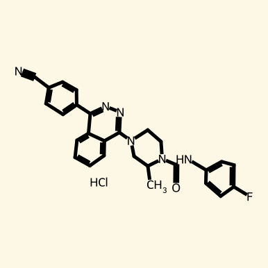 CC1CN(c2nnc(-c3ccc(C#N)cc3)c3ccccc23)CCN1C(=O)Nc1ccc(F)cc1.Cl